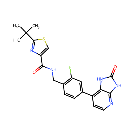 CC(C)(C)c1nc(C(=O)NCc2ccc(-c3ccnc4[nH]c(=O)[nH]c34)cc2F)cs1